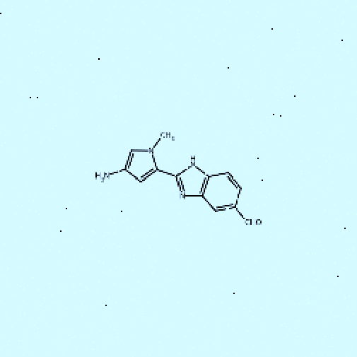 Cn1cc(N)cc1-c1nc2cc(C=O)ccc2[nH]1